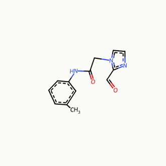 Cc1cccc(NC(=O)Cn2ccnc2C=O)c1